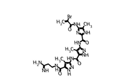 C=C(Br)C(=O)Nc1nc(C(=O)Nc2n[nH]c(C(=O)Nc3n[nH]c(C(=O)NCCC(=N)N)c3C)c2C)[nH]c1C